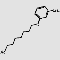 CC(=O)CCCCCCCOc1cccc(C)c1